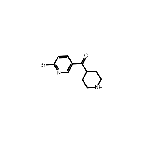 O=C(c1ccc(Br)nc1)C1CCNCC1